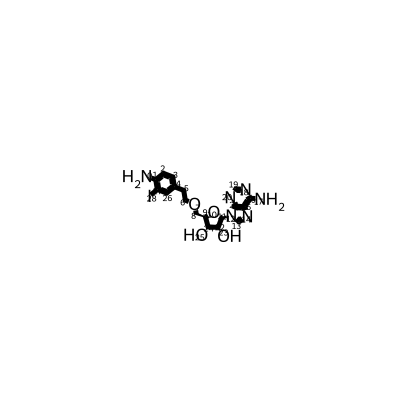 Nc1ccc(CCOC[C@H]2O[C@@H](n3cnc4c(N)ncnc43)[C@H](O)[C@@H]2O)cc1I